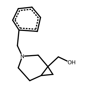 OCC12CC1CCN(Cc1ccccc1)C2